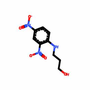 O=[N+]([O-])c1ccc(NCCCO)c([N+](=O)[O-])c1